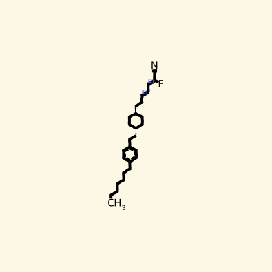 CCCCCCCc1ccc(CC[C@H]2CC[C@H](CC/C=C/C=C(\F)C#N)CC2)cc1